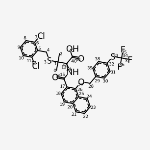 CC(C)(SCc1c(Cl)cccc1Cl)[C@H](NC(=O)c1ccc2ccccc2c1OCc1ccc(SC(F)(F)F)cc1)C(=O)O